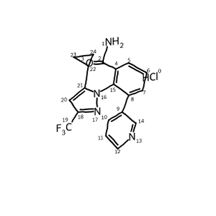 Cl.NC(=O)c1cccc(-c2cccnc2)c1-n1nc(C(F)(F)F)cc1C1CC1